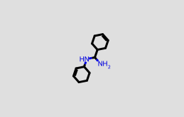 NC(NC1C=CCCC1)C1CC=CCC1